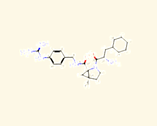 N=C(N)Nc1ccc(CNC(=O)[C@]23C[C@H]2CCN3C(=O)[C@H](N)CC2CCCCC2)cc1